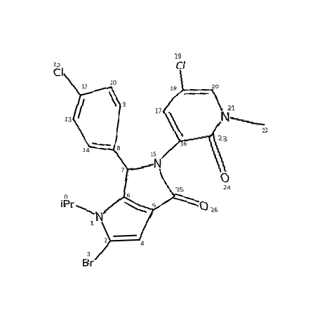 CC(C)n1c(Br)cc2c1C(c1ccc(Cl)cc1)N(c1cc(Cl)cn(C)c1=O)C2=O